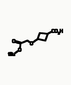 CC(C)(C)OC(=O)COC1CC(C(=O)O)C1